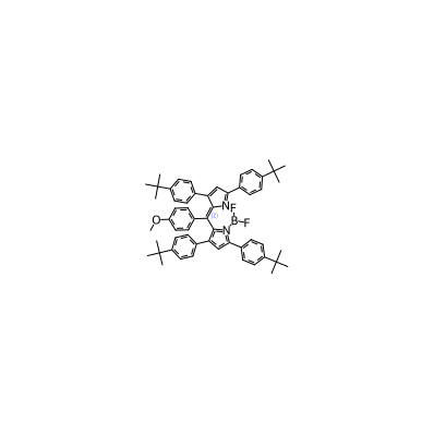 COc1ccc(/C(=C2/N=C(c3ccc(C(C)(C)C)cc3)C=C2c2ccc(C(C)(C)C)cc2)c2c(-c3ccc(C(C)(C)C)cc3)cc(-c3ccc(C(C)(C)C)cc3)n2B(F)F)cc1